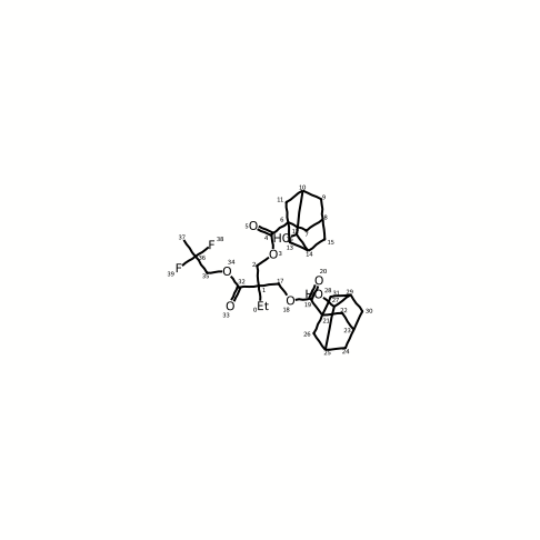 CCC(COC(=O)C12CC3CC(C1)C(O)C(C3)C2)(COC(=O)C12CC3CC(C1)C(O)C(C3)C2)C(=O)OCC(C)(F)F